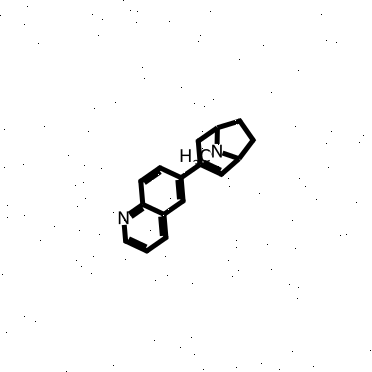 CN1C2C=C(c3ccc4ncccc4c3)CC1CC2